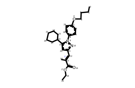 CCCCOc1ccc(-n2nc(/C=C(\C)C(=O)OCC)cc2C2CCCCC2)cc1